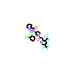 O=C(N[C@@H]1CCN(C(=O)Cc2ncc(C(F)(F)F)cc2C(F)(F)F)[C@@H]1c1cccc(Cl)c1Cl)c1ccccn1